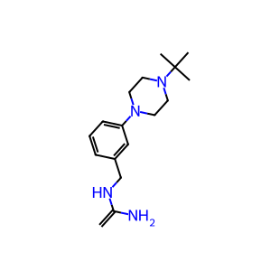 C=C(N)NCc1cccc(N2CCN(C(C)(C)C)CC2)c1